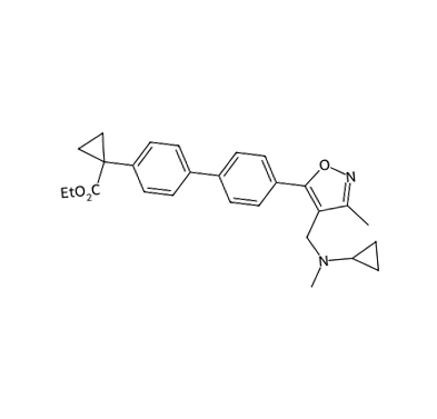 CCOC(=O)C1(c2ccc(-c3ccc(-c4onc(C)c4CN(C)C4CC4)cc3)cc2)CC1